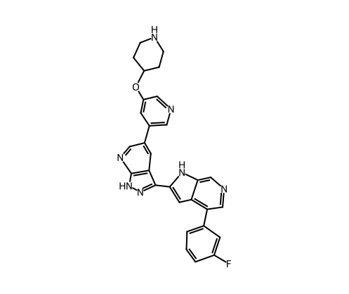 Fc1cccc(-c2cncc3[nH]c(-c4n[nH]c5ncc(-c6cncc(OC7CCNCC7)c6)cc45)cc23)c1